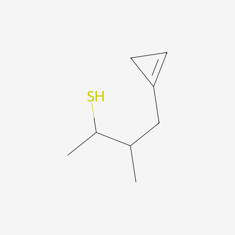 CC(S)C(C)CC1=CC1